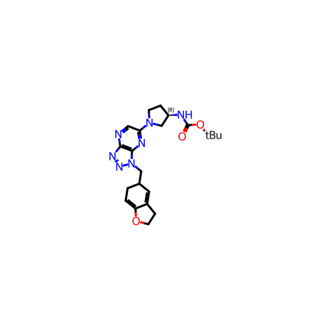 CC(C)(C)OC(=O)N[C@@H]1CCN(c2cnc3nnn(CC4C=C5CCOC5=CC4)c3n2)C1